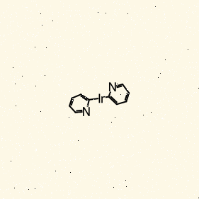 c1cc[c]([Ir][c]2ccccn2)nc1